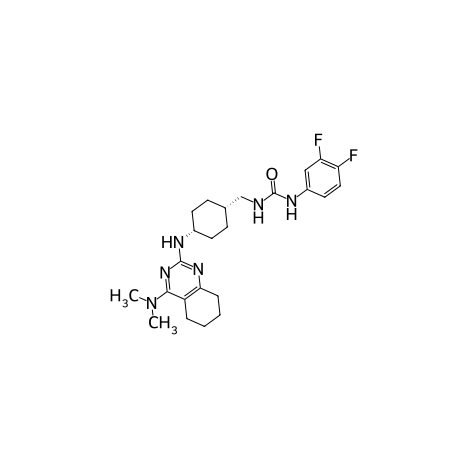 CN(C)c1nc(N[C@H]2CC[C@@H](CNC(=O)Nc3ccc(F)c(F)c3)CC2)nc2c1CCCC2